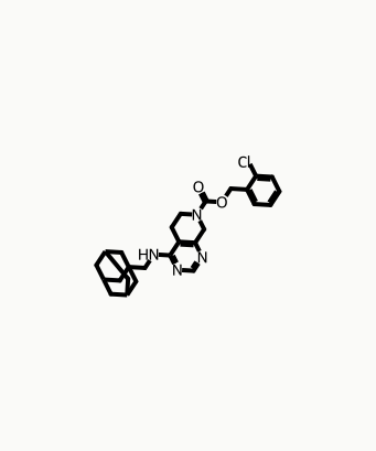 O=C(OCc1ccccc1Cl)N1CCc2c(ncnc2NCC23CC4CC(CC(C4)C2)C3)C1